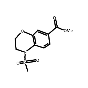 COC(=O)c1ccc2c(c1)OCCN2S(C)(=O)=O